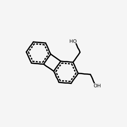 OCc1ccc2c(c1CO)-c1ccccc1-2